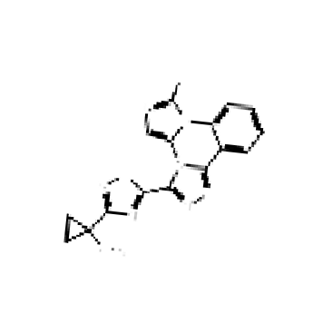 COC1(c2noc(-c3nnc4c5ccccc5n5c(F)ncc5n34)n2)CC1